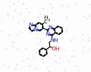 Cc1cc2nccn2cc1-c1nc(NCC(O)c2ccccc2)c2ccccc2n1